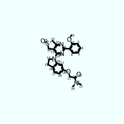 COc1ccccc1-c1nc2c(c(N3CCc4ccc(OCC(=O)N(C)C)cc43)n1)C[S+]([O-])C2